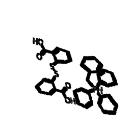 O=C(O)c1ccccc1SSc1ccccc1C(=O)O.c1ccc(C[PH](c2ccccc2)(c2ccccc2)c2ccccc2)cc1